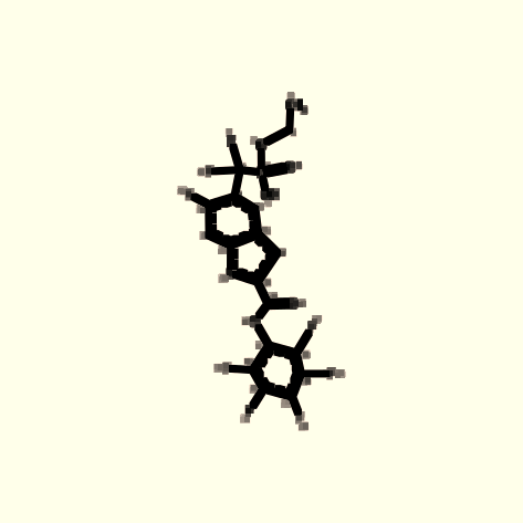 CCOP(=O)(O)C(F)(F)c1cc2cc(C(=O)Oc3c(F)c(F)c(F)c(F)c3F)sc2cc1F